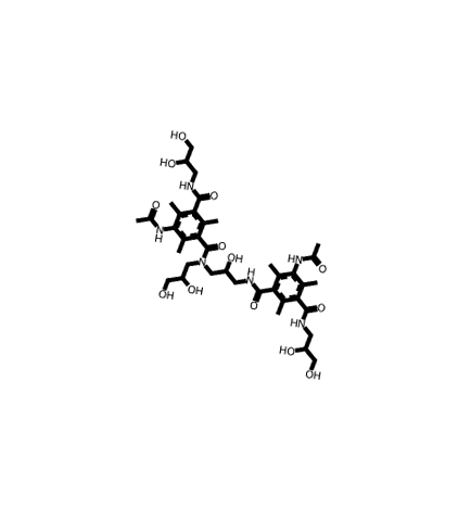 CC(=O)Nc1c(C)c(C(=O)NCC(O)CO)c(C)c(C(=O)NCC(O)CN(CC(O)CO)C(=O)c2c(C)c(NC(C)=O)c(C)c(C(=O)NCC(O)CO)c2C)c1C